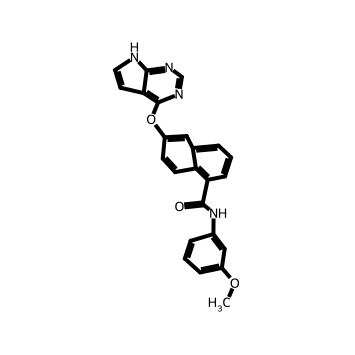 COc1cccc(NC(=O)c2cccc3cc(Oc4ncnc5[nH]ccc45)ccc23)c1